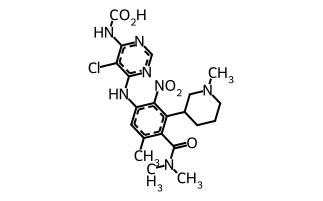 Cc1cc(Nc2ncnc(NC(=O)O)c2Cl)c([N+](=O)[O-])c(C2CCCN(C)C2)c1C(=O)N(C)C